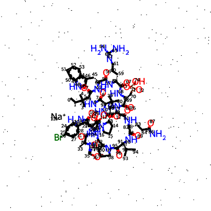 CCC(C)(C)[C@@H](NC(=O)C(NC(=O)[C@@H]1CCCN1C(=O)C(Cc1ccc(Br)cc1)NC(=O)[C@H](C)N=C[O-])C(C)(C)C)C(=O)N[C@H](Cc1c[nH]c2ccccc12)C(=O)N[C@H](CCCN=C(N)N)C(=O)N[C@@H](CS(=O)(=O)O)C(=O)N[C@H]1C(=O)N[C@H](CCC(N)=O)C(=O)N[C@@H](C(C)C)C(=O)N2CCC[C@H]2C(=O)N[C@@H](CC(N)=O)C(=O)O[C@H]1C.[Na+]